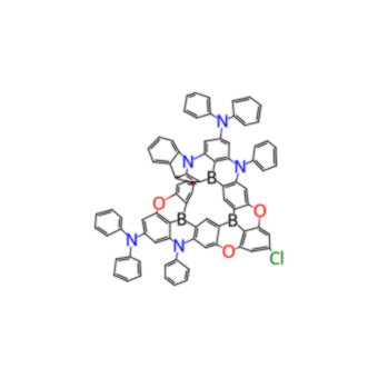 Clc1cc2c3c(c1)Oc1cc4c(cc1B3c1cc3c(cc1O2)N(c1ccccc1)c1cc(N(c2ccccc2)c2ccccc2)cc2c1B3c1ccccc1O2)B1c2c(cc(N(c3ccccc3)c3ccccc3)cc2-n2c3ccccc3c3cccc1c32)N4c1ccccc1